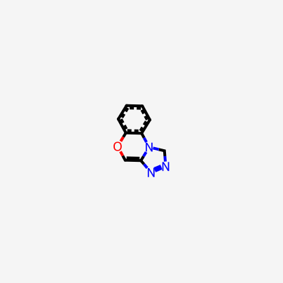 C1=C2N=NCN2c2ccccc2O1